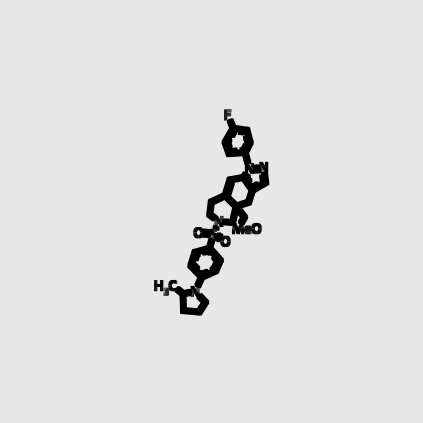 COCC12Cc3cnn(-c4ccc(F)cc4)c3C=C1CCN(S(=O)(=O)c1ccc(N3CCCC3C)cc1)C2